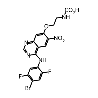 O=C(O)NCCOc1cc2ncnc(Nc3cc(F)c(Br)cc3F)c2cc1[N+](=O)[O-]